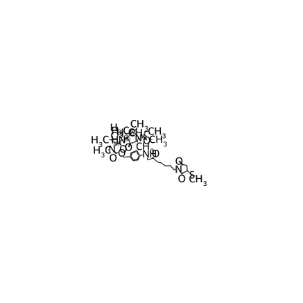 CC[C@H](C)N(C(C)C(=O)[C@@H](NC(=O)[C@H](C(C)C)N(C)C(=O)OCc1ccc(NCC(=O)CCCCCN2C(=O)CC(SC)C2=O)cc1)C(C)C)[C@@H](CC)OC